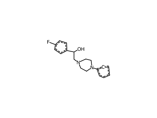 OC(CN1CCN(c2ccccc2)CC1)c1ccc(F)cc1